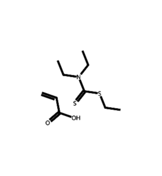 C=CC(=O)O.CCSC(=S)N(CC)CC